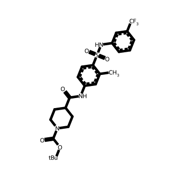 Cc1cc(NC(=O)C2CCN(C(=O)OC(C)(C)C)CC2)ccc1S(=O)(=O)Nc1cccc(C(F)(F)F)c1